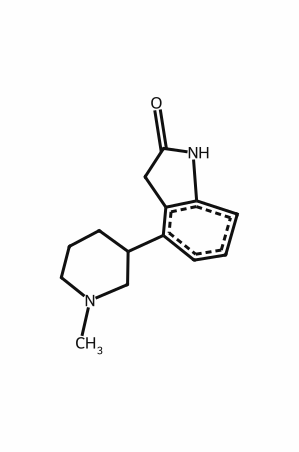 CN1CCCC(c2cccc3c2CC(=O)N3)C1